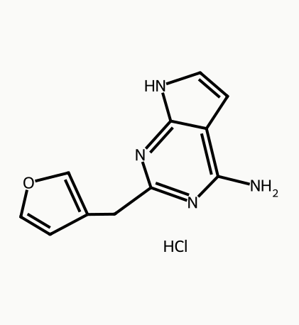 Cl.Nc1nc(Cc2ccoc2)nc2[nH]ccc12